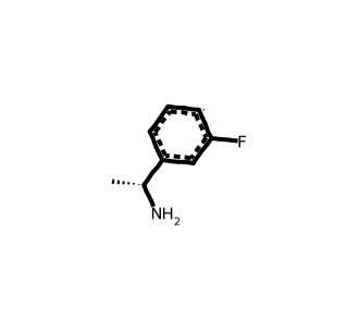 C[C@@H](N)c1cc[c]c(F)c1